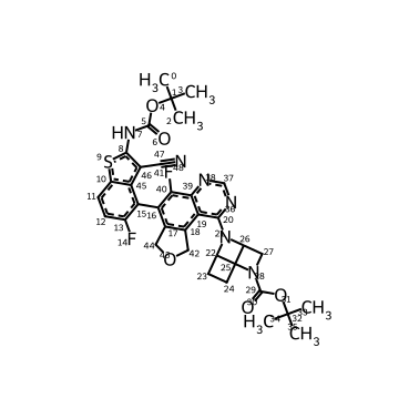 CC(C)(C)OC(=O)Nc1sc2ccc(F)c(-c3c4c(c5c(N6C7CCC78C6CN8C(=O)OC(C)(C)C)ncnc5c3F)COC4)c2c1C#N